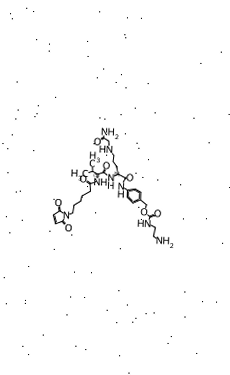 CC(C)[C@H](NC(=O)CCCCCN1C(=O)C=CC1=O)C(=O)N[C@@H](CCCNCC(N)=O)C(=O)Nc1ccc(COC(=O)NCCN)cc1